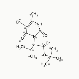 Cc1[nH]c(=O)n(C(C(=O)OC(C)(C)C)C(C)C)c(=O)c1Br